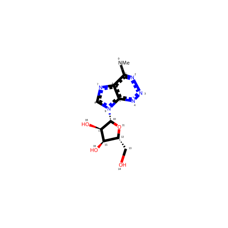 CNc1nnnc2c1ncn2[C@@H]1O[C@H](CO)[C@@H](O)[C@H]1O